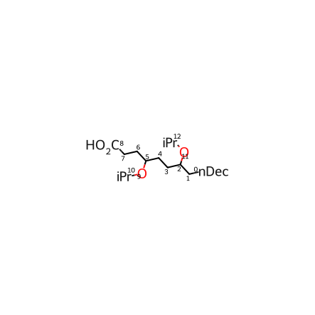 CCCCCCCCCCCC(CCC(CCC(=O)O)OC(C)C)OC(C)C